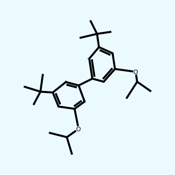 CC(C)Oc1cc(-c2[c]c(C(C)(C)C)cc(OC(C)C)c2)[c]c(C(C)(C)C)c1